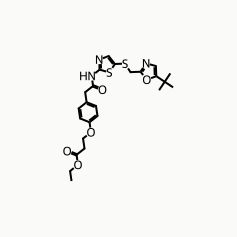 CCOC(=O)CCOc1ccc(CC(=O)Nc2ncc(SCc3ncc(C(C)(C)C)o3)s2)cc1